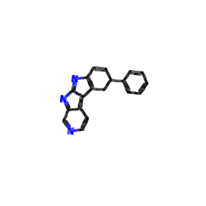 C1=CC(c2ccccc2)CC2=C1N=C1N=c3cnccc3=C12